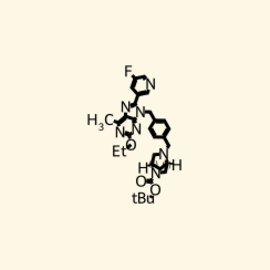 CCOc1nc(C)c2nc(-c3cncc(F)c3)n(Cc3ccc(CN4C[C@@H]5C[C@H]4CN5C(=O)OC(C)(C)C)cc3)c2n1